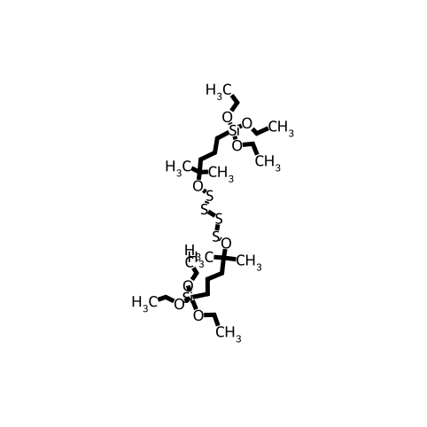 CCO[Si](CCCC(C)(C)OSSSSOC(C)(C)CCC[Si](OCC)(OCC)OCC)(OCC)OCC